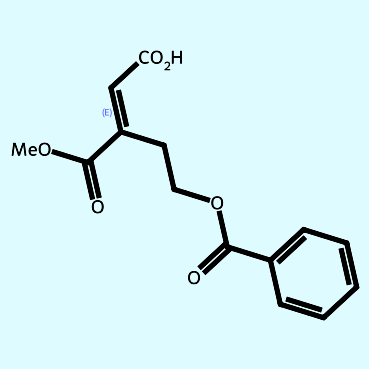 COC(=O)/C(=C/C(=O)O)CCOC(=O)c1ccccc1